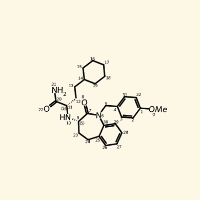 COc1ccc(CN2C(=O)[C@@H](N[C@@H](CCC3CCCCC3)C(N)=O)CCc3ccccc32)cc1